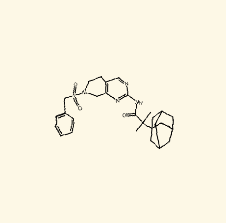 CC(C)(C(=O)Nc1ncc2c(n1)CN(S(=O)(=O)Cc1ccccc1)CC2)C12CC3CC(CC(C3)C1)C2